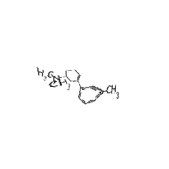 Cc1cccc(C2=CCCC(N(C)C)C2)c1